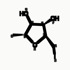 C[C@H]1O[C@H](CI)[C@@H](O)C1O